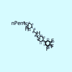 CCCCC[Si@H]1CC[C@H](CCCC[Si@H]2CC[C@H](c3cc(F)c(F)c(F)c3)CC2)CC1